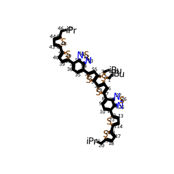 CCC(C)CS1(CC(C)CC)c2cc(-c3ccc(-c4ccc(-c5ccc(CC(C)C)s5)s4)c4nsnc34)sc2-c2sc(-c3ccc(-c4ccc(-c5ccc(CC(C)C)s5)s4)c4nsnc34)cc21